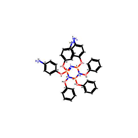 Nc1ccc(OP2N=P(Oc3ccc(N)cc3)(Oc3ccc(N)cc3)N(Oc3ccccc3)P(Oc3ccccc3)N2Oc2ccccc2)cc1